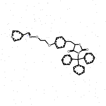 O=C1SC(Cc2ccc(OCCO/N=C/c3ccncc3)cc2)C(=O)N1C(c1ccccc1)(c1ccccc1)c1ccccc1